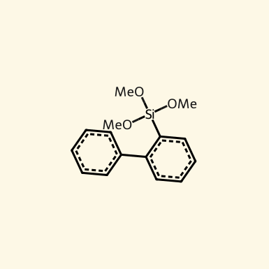 CO[Si](OC)(OC)c1ccccc1-c1ccccc1